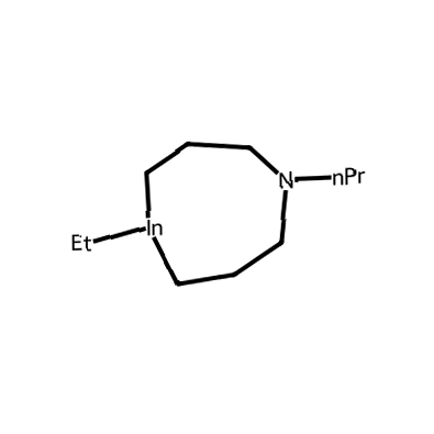 CCCN1CC[CH2][In]([CH2]C)[CH2]CC1